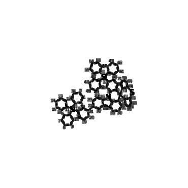 c1ccc([Si](c2ccccc2)(c2ccccc2)c2cccc(-c3ccc4c(c3)c3cccc5c3n4-c3cc([Si](c4ccccc4)(c4ccccc4)c4ccccc4)ccc3C53c4ccccc4Sc4ccccc43)c2)cc1